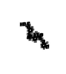 Cc1c(Cl)cccc1OCCOC(=O)N1CCSc2c(-c3cnn(Cc4cccc(OCC(=O)O)c4)c3)cccc21